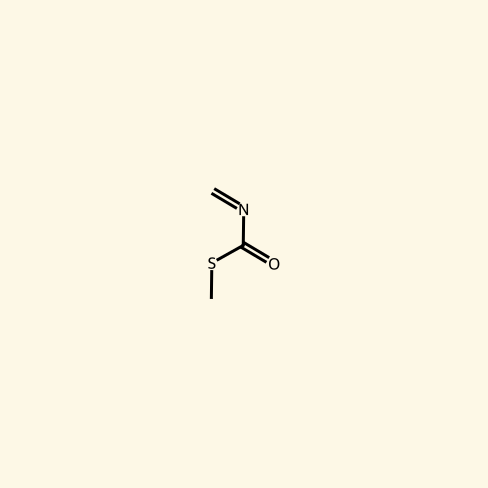 C=NC(=O)SC